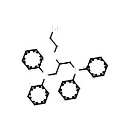 NCCOC(CP(c1ccccc1)c1ccccc1)CP(c1ccccc1)c1ccccc1